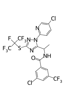 CC(NC(=O)c1cc(Cl)cc(C(F)(F)F)c1)c1nc(SC(F)(C(F)(F)F)C(F)(F)F)nn1-c1ccc(Cl)cn1